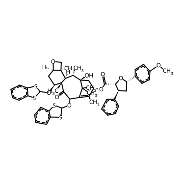 COc1ccc([C@@H]2C[C@@H](c3ccccc3)[C@H](C(=O)O[C@H]3C[C@@]4(O)[C@@H](C)[C@@H]5[C@]6(C)CO[C@@H]6C[C@H](OC6Sc7ccccc7S6)[C@@]5(C)C(=O)[C@H](OC5Sc6ccccc6S5)C(=C3C)C4(C)C)O2)cc1